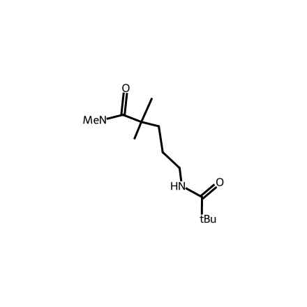 CNC(=O)C(C)(C)CCCNC(=O)C(C)(C)C